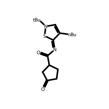 CCCCc1cn(C(C)(C)C)s/c1=N\C(=O)C1CCC(=O)C1